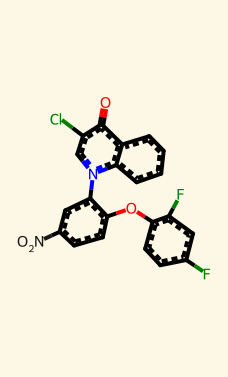 O=c1c(Cl)cn(-c2cc([N+](=O)[O-])ccc2Oc2ccc(F)cc2F)c2ccccc12